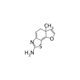 CC12C=COC1=c1sc(N)nc1=CC2